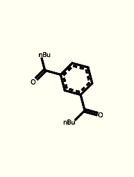 CCCCC(=O)c1cccc(C(=O)CCCC)c1